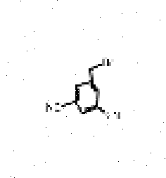 N#Cc1cc(C#N)cc(CBr)c1